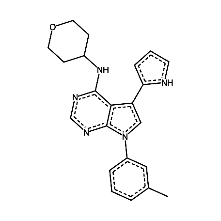 Cc1cccc(-n2cc(-c3ccc[nH]3)c3c(NC4CCOCC4)ncnc32)c1